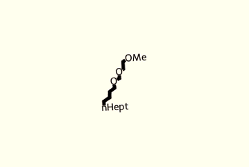 CCCCCCCCCCCOCOCCOC